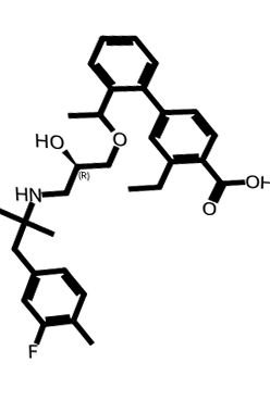 CCc1cc(-c2ccccc2C(C)OC[C@H](O)CNC(C)(C)Cc2ccc(C)c(F)c2)ccc1C(=O)O